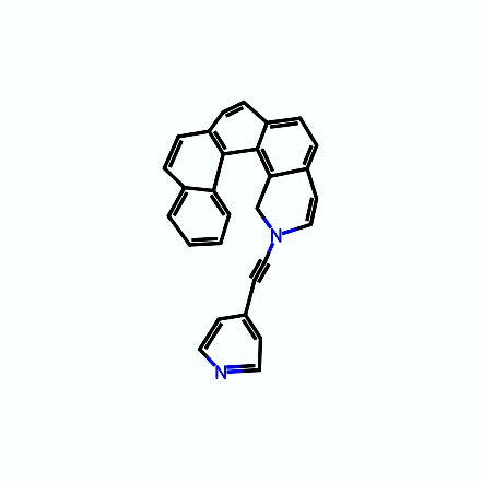 C(#CN1C=Cc2ccc3ccc4ccc5ccccc5c4c3c2C1)c1ccncc1